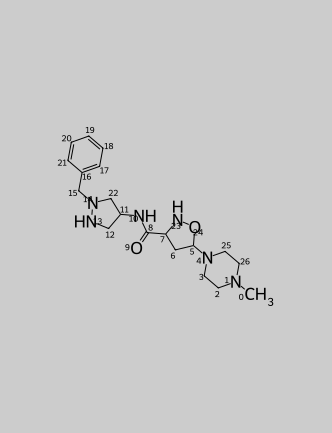 CN1CCN(C2CC(C(=O)NC3CNN(Cc4ccccc4)C3)NO2)CC1